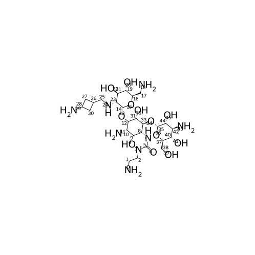 NCCN(O)C(=O)N[C@@H]1C[C@H](N)C(O[C@H]2O[C@H](CN)[C@@H](O)[C@H](O)[C@H]2NCC2CC(N)C2)[C@H](O)[C@H]1O[C@H]1O[C@H](CO)[C@@H](O)[C@H](N)[C@H]1O